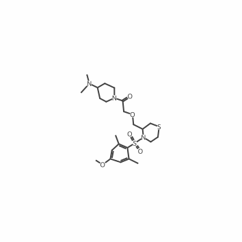 COc1cc(C)c(S(=O)(=O)N2CCSCC2COCC(=O)N2CCC(N(C)C)CC2)c(C)c1